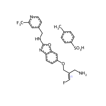 Cc1ccc(S(=O)(=O)O)cc1.NC/C(=C/F)COc1ccc2nc(NCc3ccnc(C(F)(F)F)c3)oc2c1